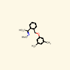 CON=C(C(=O)O)c1ccccc1COc1cc(C)cc(C)c1